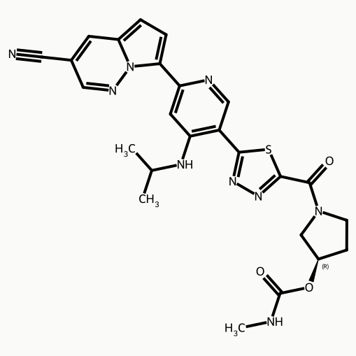 CNC(=O)O[C@@H]1CCN(C(=O)c2nnc(-c3cnc(-c4ccc5cc(C#N)cnn45)cc3NC(C)C)s2)C1